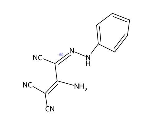 N#CC(C#N)=C(N)/C(C#N)=N\Nc1ccccc1